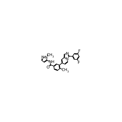 Cc1ccc(C(=O)Nc2ccnn2C)cc1-c1ccn2c(-c3cc(F)cc(F)c3)ncc2c1